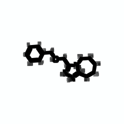 c1ccc(COCc2nnc3n2CCCCC3)cc1